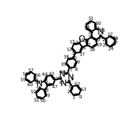 c1ccc(-c2nc(-c3ccc(-c4ccc5oc6c(ccc7c(-c8ccccc8)nc8ccccc8c76)c5c4)cc3)nc(-c3ccc4c(c3)c3ccccc3n4-c3ccccc3)n2)cc1